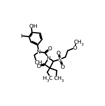 CCN(C(=O)N1C(=O)C(CC)(CC)C1S(=O)(=O)CCOC)c1ccc(O)c(I)c1